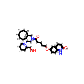 O=C(CCCCOc1ccc2[nH]c(=O)ccc2c1)N(CCN1CCCCC1CO)CC1CCCCCCC1